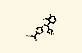 COC(=O)c1ncc(OC(c2cccc(F)c2Cl)C2CNC2)cn1